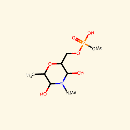 CNN1C(O)C(C)OC(COP(=O)(O)OC)C1O